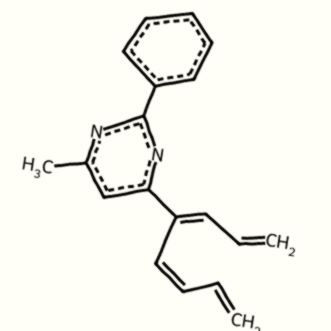 C=C/C=C\C(=C/C=C)c1cc(C)nc(-c2ccccc2)n1